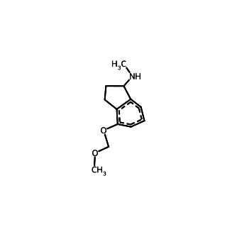 CNC1CCc2c(OCOC)cccc21